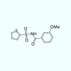 COc1cccc(C(=O)NS(=O)(=O)c2cccs2)c1